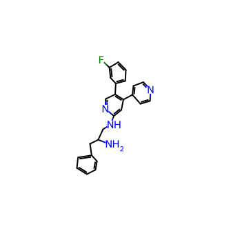 NC(CNc1cc(-c2ccncc2)c(-c2cccc(F)c2)cn1)Cc1ccccc1